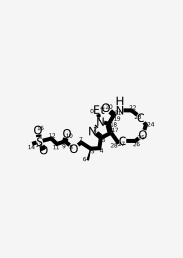 CCn1nc(C[C@@H](C)COC(=O)CCS(C)(=O)=O)c2c1C(=O)NCCCOCCC2